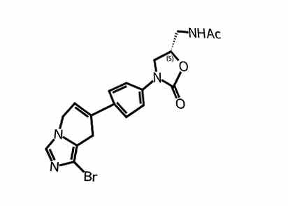 CC(=O)NC[C@H]1CN(c2ccc(C3=CCn4cnc(Br)c4C3)cc2)C(=O)O1